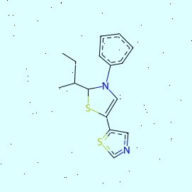 CCC(C)C1SC(c2cncs2)=[C]N1c1ccccc1